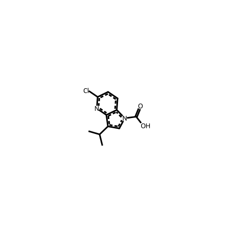 CC(C)c1cn(C(=O)O)c2ccc(Cl)nc12